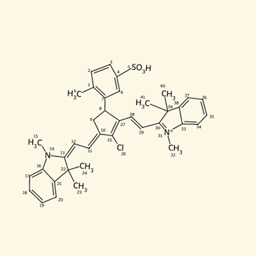 Cc1ccc(S(=O)(=O)O)cc1C1C/C(=C\C=C2\N(C)c3ccccc3C2(C)C)C(Cl)=C1/C=C/C1=[N+](C)c2ccccc2C1(C)C